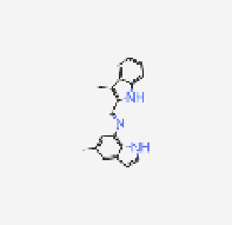 Cc1cc(/N=C/c2[nH]c3ccccc3c2C)c2[nH]ccc2c1